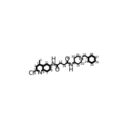 Cc1cc(Cl)nc2ccc(NC(=O)CCC(=O)NC3CCN(Cc4ccccc4)CC3)cc12